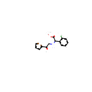 COC(=O)C(NCC(=O)c1cccs1)c1ccccc1Cl